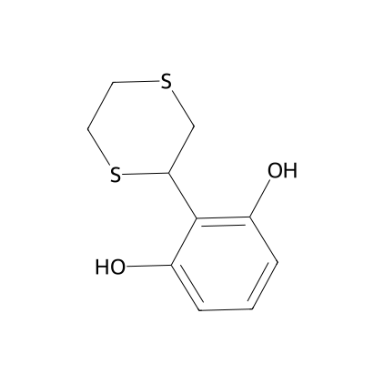 Oc1cccc(O)c1C1CSCCS1